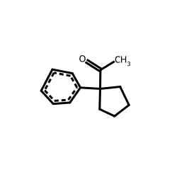 CC(=O)C1(c2ccccc2)CCCC1